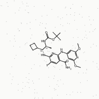 COc1cc(Nc2nc(N[C@H](C3CCC3)[C@H](C)NC(=O)OC(C)(C)C)c(F)cc2C(N)=O)cc(OC)n1